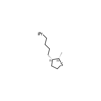 CC(C)CCCC[C@H]1CCS[C@H]1C